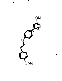 COc1ccc(CCOc2ccc(-c3cc(O)n[s+]3[O-])cc2)cc1